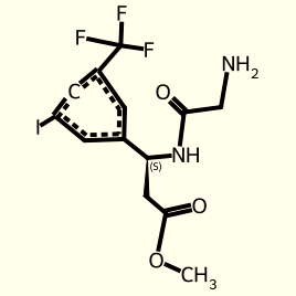 COC(=O)C[C@H](NC(=O)CN)c1cc(I)cc(C(F)(F)F)c1